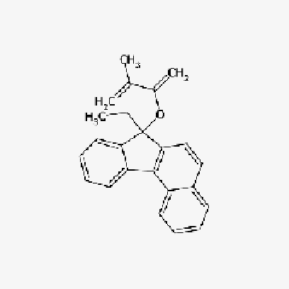 C=C(C)C(=C)OC1(CC)c2ccccc2-c2c1ccc1ccccc21